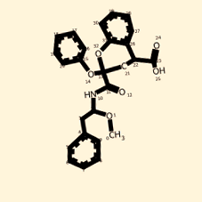 COC(Cc1ccccc1)NC(=O)C1(Oc2ccccc2)CC(C(=O)O)c2ccccc2O1